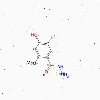 COc1cc(O)c(F)cc1C(=O)NN